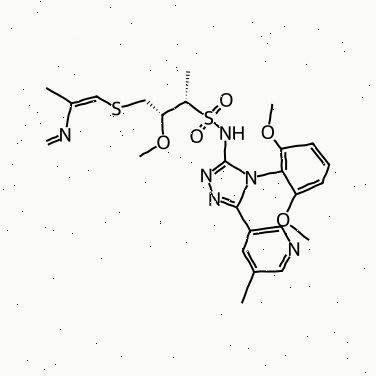 C=N/C(C)=C\SC[C@@H](OC)[C@H](C)S(=O)(=O)Nc1nnc(-c2cncc(C)c2)n1-c1c(OC)cccc1OC